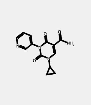 NC(=O)c1cn(C2CC2)c(=O)n(-c2cccnc2)c1=O